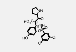 O=C(O)[C@H](C(=O)C1CCCN1)[C@H](NS(=O)(=O)c1cc(Cl)cc(Cl)c1)c1ccc(O)cc1